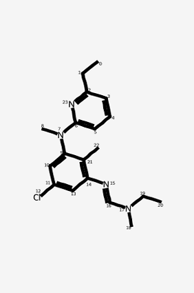 CCc1cccc(N(C)c2cc(Cl)cc(N=CN(C)CC)c2C)n1